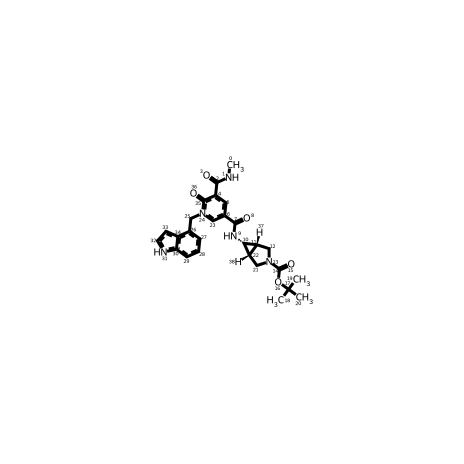 CNC(=O)c1cc(C(=O)N[C@@H]2[C@@H]3CN(C(=O)OC(C)(C)C)C[C@@H]32)cn(Cc2cccc3[nH]ccc23)c1=O